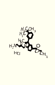 CCOC(=O)c1ccc2c(c1)c(-c1cccc(C(C)(C)C)c1)c(C)n2CC(F)=CCN.Cl